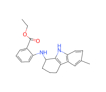 CCOC(=O)c1ccccc1NC1CCCc2c1[nH]c1ccc(C)cc21